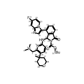 CN(C)Cc1nc(NC2c3c(cccc3-c3cnc4cc(F)ccn34)C(=O)N2C(=O)OC(C)(C)C)ccc1C1(C)CCOCC1